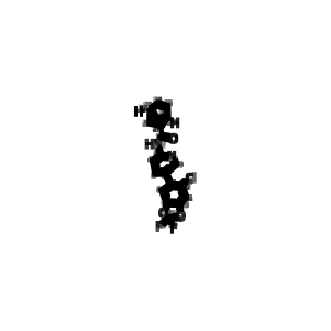 O=C(Nc1ccc(-c2cc3c(cc2Cl)OC(F)(F)O3)cn1)[C@H]1C[C@H]2C=C[C@@H]1C2